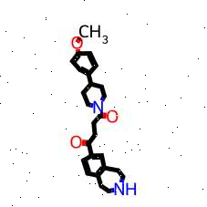 COc1ccc(C2CCN(C(=O)CCC(=O)c3ccc4c(c3)CCNCC4)CC2)cc1